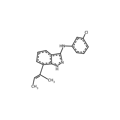 C/C=C(\C)c1cccc2c(Nc3cccc(Cl)c3)n[nH]c12